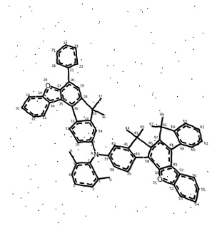 Cc1cccc(C)c1N(c1ccc2c(c1)C(C)(C)c1cc(-c3ccccc3)c3oc4ccccc4c3c1-2)c1ccc2c(c1)C(C)(C)c1c3c(c4c(oc5ccccc54)c1-2)-c1ccccc1C3(C)C